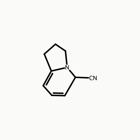 N#CC1C=CC=C2CCCN21